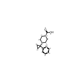 O=C(O)N1CCN(C2(c3ccccn3)CC2)CC1